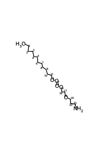 CCCCCCCCCCCCOOOOCCOCCCN